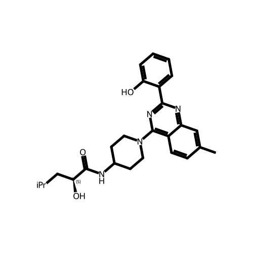 Cc1ccc2c(N3CCC(NC(=O)[C@@H](O)CC(C)C)CC3)nc(-c3ccccc3O)nc2c1